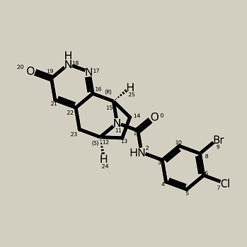 O=C(Nc1ccc(Cl)c(Br)c1)N1[C@H]2CC[C@@H]1c1n[nH]c(=O)cc1C2